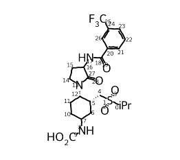 CC(C)S(=O)(=O)C[C@@H]1CC(NC(=O)O)CC[C@@H]1N1CCC(NC(=O)c2cccc(C(F)(F)F)c2)C1=O